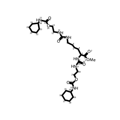 COC(=O)C(CCCCNC(=O)NCCOC(=O)NC1CCCCC1)NC(=O)NCCOC(=O)NC1CCCCC1